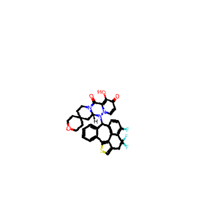 O=C1c2c(O)c(=O)ccn2N(C2c3ccccc3-c3scc4c3-c3c2ccc(F)c3C(F)(F)C4)[C@@H]2CC3(CCOCC3)CCN12